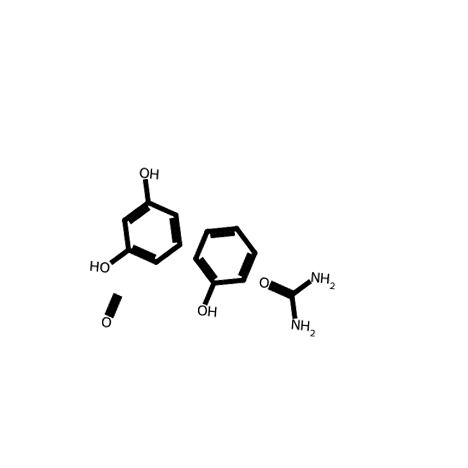 C=O.NC(N)=O.Oc1cccc(O)c1.Oc1ccccc1